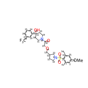 COc1cc(C)c(S(=O)(=O)N2CCC(COCC(=O)N3CCC(O)(c4cccc(C(F)(F)F)c4)CC3)C2)c(C)c1